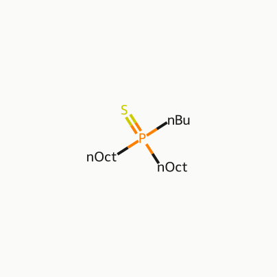 CCCCCCCCP(=S)(CCCC)CCCCCCCC